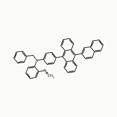 C=Nc1ccccc1N(Cc1ccccc1)c1ccc(-c2c3ccccc3c(-c3ccc4ccccc4c3)c3ccccc23)cc1